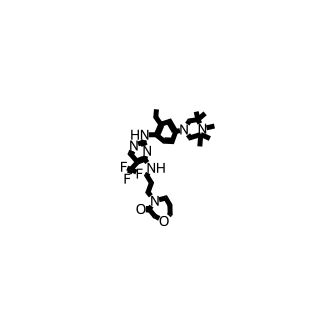 CCc1cc(N2CC(C)(C)N(C)C(C)(C)C2)ccc1Nc1ncc(C(F)(F)F)c(NCCCN2CCCOCC2=O)n1